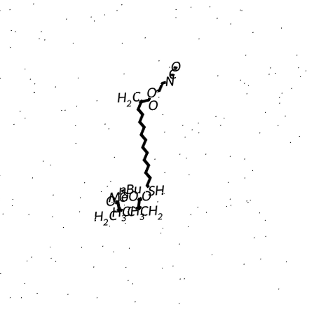 C=C(C)C(=O)OC.C=C(C)C(=O)OCCCC.C=C(CCCCCCCCCCCCCS)C(=O)OCCN=C=O